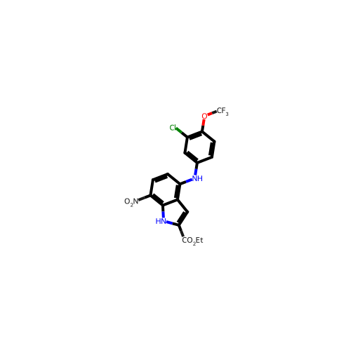 CCOC(=O)c1cc2c(Nc3ccc(OC(F)(F)F)c(Cl)c3)ccc([N+](=O)[O-])c2[nH]1